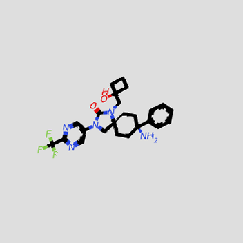 N[C@]1(c2ccccc2)CC[C@@]2(CC1)CN(c1cnc(C(F)(F)F)nc1)C(=O)N2CC1(O)CCC1